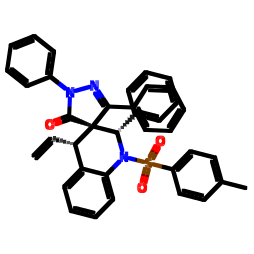 C=C[C@H]1c2ccccc2N(S(=O)(=O)c2ccc(C)cc2)[C@@H](c2ccccc2)[C@]12C(=O)N(c1ccccc1)N=C2c1ccccc1